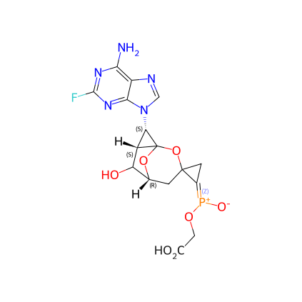 Nc1nc(F)nc2c1ncn2[C@H]1[C@H]2C(O)[C@H]3CC4(C/C4=[P+](\[O-])OCC(=O)O)OC21O3